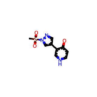 CS(=O)(=O)n1cc(-c2c[nH]ccc2=O)cn1